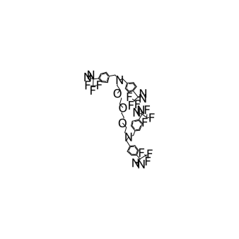 FC(F)(F)C1(c2ccc(CN(CCOCCOCCOCCN(Cc3ccc(C4(C(F)(F)F)N=N4)cc3)Cc3ccc(C4(C(F)(F)F)N=N4)cc3)Cc3ccc(C4(C(F)(F)F)N=N4)cc3)cc2)N=N1